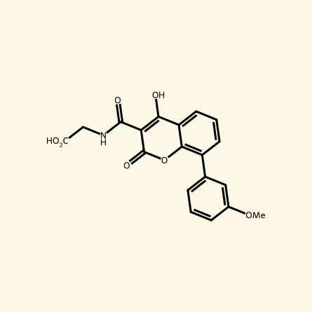 COc1cccc(-c2cccc3c(O)c(C(=O)NCC(=O)O)c(=O)oc23)c1